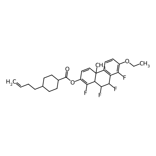 C=CCCC1CCC(C(=O)OC2=C(F)C3C(F)C(F)c4c(ccc(OCC)c4F)C3(C)C=C2)CC1